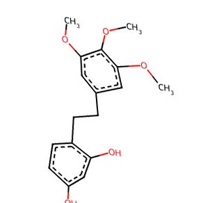 COc1cc(CCc2ccc(O)cc2O)cc(OC)c1OC